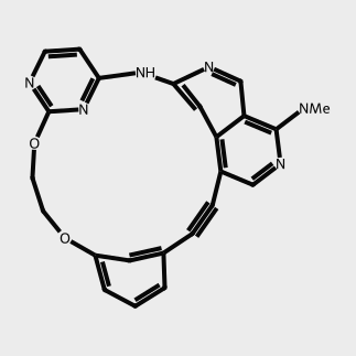 CNc1ncc2c3cc(ncc13)Nc1ccnc(n1)OCCOc1cccc(c1)C#C2